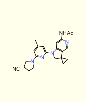 CC(=O)Nc1cc2c(cn1)C1(CC1)CN2c1cc(C)cc(N2CC[C@H](C#N)C2)n1